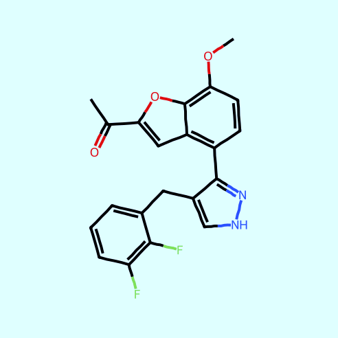 COc1ccc(-c2n[nH]cc2Cc2cccc(F)c2F)c2cc(C(C)=O)oc12